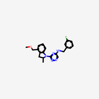 COCc1cccc2c1CC(C)N2c1nncc(NCc2cccc(F)c2)n1